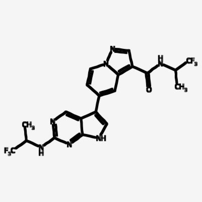 CC(NC(=O)c1cnn2ccc(-c3c[nH]c4nc(NC(C)C(F)(F)F)ncc34)cc12)C(F)(F)F